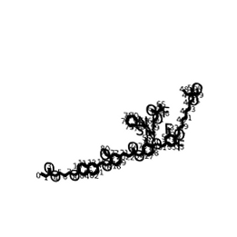 C=CC(=O)OCCCOc1ccc2cc(COc3ccc(/C=C/C(=O)Oc4ccc(OCc5cc(F)c(OCCCCCCCOC6(CC)COC6)c(F)c5)c(/C=N/N(CCOC(=O)C(=C)F)c5nc6ccccc6s5)c4)cc3OC)ccc2c1